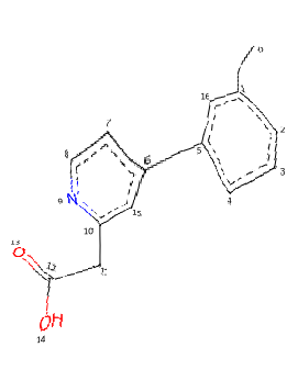 Cc1cccc(-c2ccnc(CC(=O)O)c2)c1